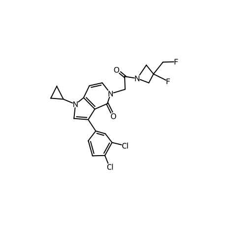 O=C(Cn1ccc2c(c(-c3ccc(Cl)c(Cl)c3)cn2C2CC2)c1=O)N1CC(F)(CF)C1